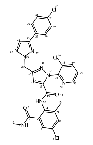 CNC(=O)c1cc(Cl)cc(C)c1NC(=O)c1cc(Cn2ncc(-c3ccc(Cl)cc3)n2)nn1-c1ncccc1Cl